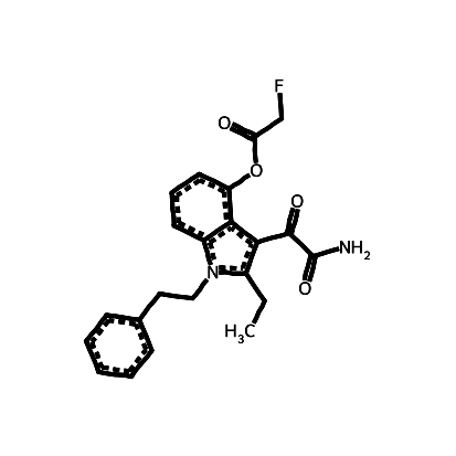 CCc1c(C(=O)C(N)=O)c2c(OC(=O)CF)cccc2n1CCc1ccccc1